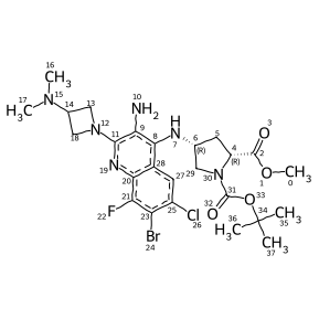 COC(=O)[C@H]1C[C@@H](Nc2c(N)c(N3CC(N(C)C)C3)nc3c(F)c(Br)c(Cl)cc23)CN1C(=O)OC(C)(C)C